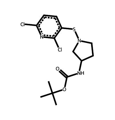 CC(C)(C)OC(=O)NC1CCN(Sc2ccc(Cl)nc2Cl)C1